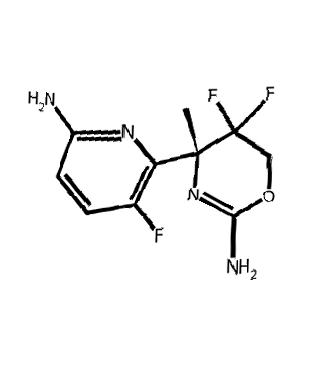 C[C@]1(c2nc(N)ccc2F)N=C(N)OCC1(F)F